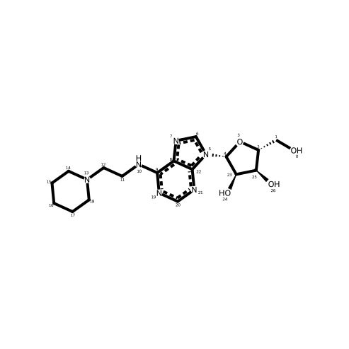 OC[C@H]1O[C@@H](n2cnc3c(NCCN4CCCCC4)ncnc32)[C@H](O)[C@@H]1O